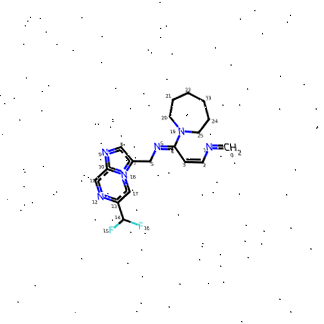 C=N/C=C\C(=N/Cc1cnc2cnc(C(F)F)cn12)N1CCCCCC1